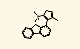 CC1=CCC([SiH](C)C)=C1c1cccc2c1Cc1ccccc1-2